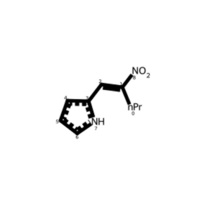 CCC/C(=C\c1ccc[nH]1)[N+](=O)[O-]